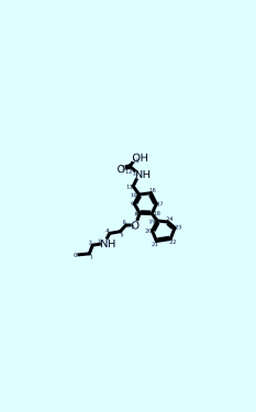 CCCNCCCOc1cc(CNC(=O)O)ccc1-c1ccccc1